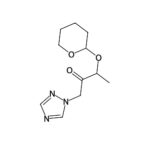 CC(OC1CCCCO1)C(=O)Cn1cncn1